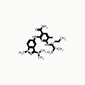 CCC[C@@H](Nc1nc(Nc2ccc3c(c2)c(N(C)C)nn3C)c(C(N)=O)cc1F)[C@H](C)N